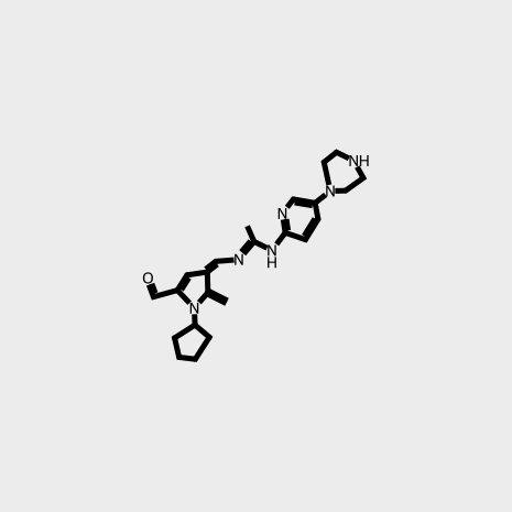 C=c1/c(=C\N=C(/C)Nc2ccc(N3CCNCC3)cn2)cc(C=O)n1C1CCCC1